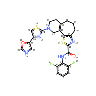 O=C(Nc1c(F)cccc1F)c1nc2c(s1)C1=C(CCC2)CCN(c2nc(-c3cnco3)cs2)C1